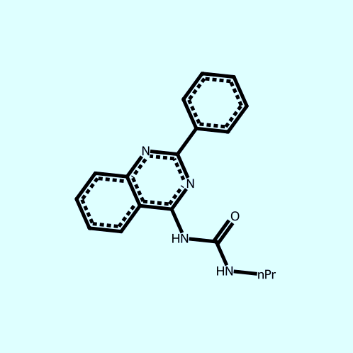 CCCNC(=O)Nc1nc(-c2ccccc2)nc2ccccc12